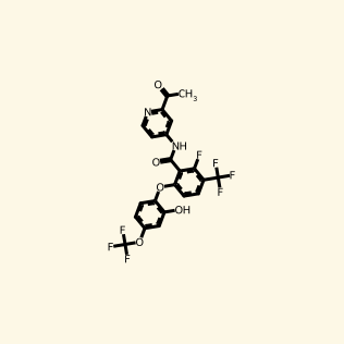 CC(=O)c1cc(NC(=O)c2c(Oc3ccc(OC(F)(F)F)cc3O)ccc(C(F)(F)F)c2F)ccn1